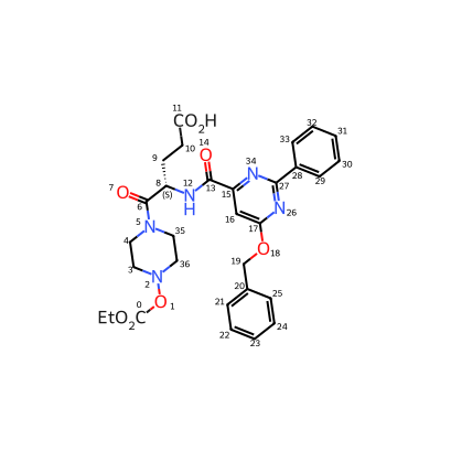 CCOC(=O)ON1CCN(C(=O)[C@H](CCC(=O)O)NC(=O)c2cc(OCc3ccccc3)nc(-c3ccccc3)n2)CC1